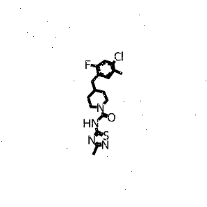 Cc1nsc(NC(=O)N2CCC(Cc3cc(C)c(Cl)cc3F)CC2)n1